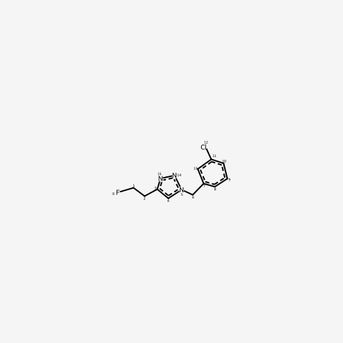 FCCc1cn(Cc2cccc(Cl)c2)nn1